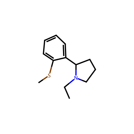 CCN1CCCC1c1ccccc1SC